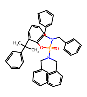 CC(C)(c1ccccc1)c1ccccc1OP(=O)(N(Cc1ccccc1)Cc1ccccc1)N(Cc1ccccc1)Cc1ccccc1